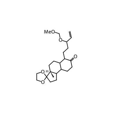 C=CC(CCC1C(=O)CCC2C1CC[C@]1(C)C2CCC12OCCO2)OCOC